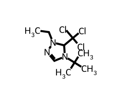 CCN1N=CN(C(C)(C)C)C1C(Cl)(Cl)Cl